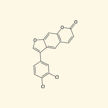 O=c1ccc2cc3c(-c4ccc(Cl)c(Cl)c4)coc3cc2o1